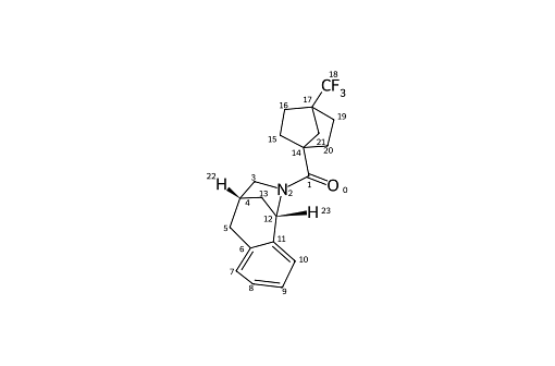 O=C(N1C[C@H]2Cc3ccccc3[C@@H]1C2)C12CCC(C(F)(F)F)(CC1)C2